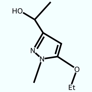 CCOc1cc(C(C)O)nn1C